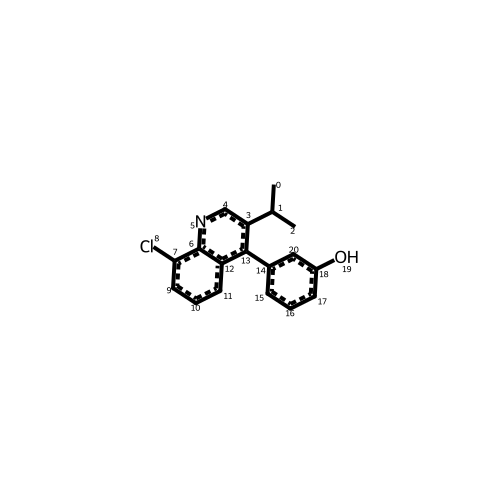 CC(C)c1cnc2c(Cl)cccc2c1-c1cccc(O)c1